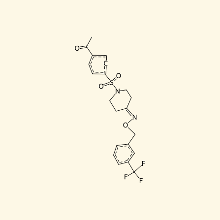 CC(=O)c1ccc(S(=O)(=O)N2CCC(=NOCc3cccc(C(F)(F)F)c3)CC2)cc1